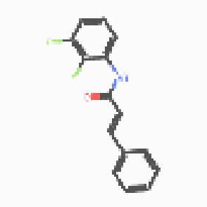 O=C(C=Cc1ccccc1)Nc1cccc(F)c1F